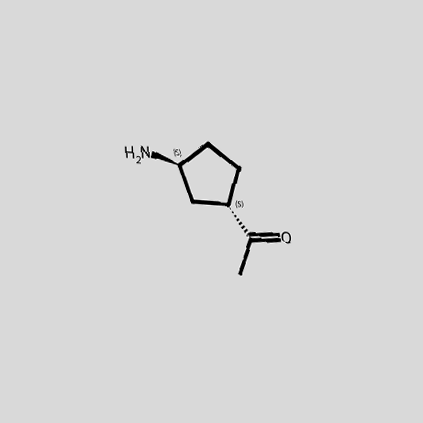 CC(=O)[C@H]1CC[C@H](N)C1